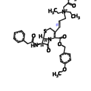 CC[N+](CC)(C/C=C/C1=C(C(=O)OCc2ccc(OC)cc2)N2C(=O)[C@@H](NC(=O)Cc3ccccc3)[C@H]2SC1)CC(N)=O